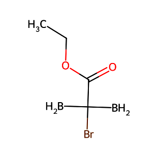 BC(B)(Br)C(=O)OCC